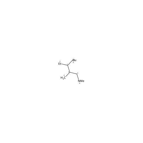 CCC(C)C(CC)C(C)CNC